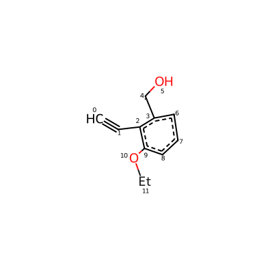 C#Cc1c([CH]O)cccc1OCC